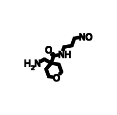 NCC1(C(=O)NCCCN=O)CCOCC1